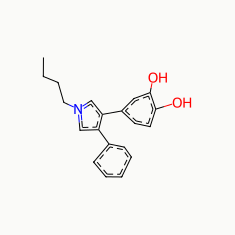 CCCCn1cc(-c2ccccc2)c(-c2ccc(O)c(O)c2)c1